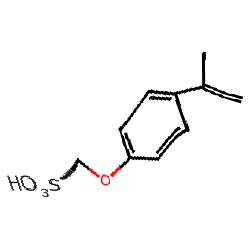 C=C(C)c1ccc(OCS(=O)(=O)O)cc1